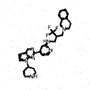 FC(F)(F)C(CNc1cc(-c2ncc3ccn(C4CCNCC4)c3n2)ccn1)CN1CCc2ccccc2C1